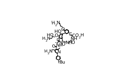 Cc1nc(-c2ccc(C(C)(C)C)cc2)cc(CN)c1C(=O)N[C@@H](C)C(=O)N(C)[C@@H]1C(=O)N[C@@H](C)C(=O)N[C@H](C(=O)O)Cc2ccc(OCCCN)c(c2)-c2cc1cc(OC[C@H](O)CN)c2O